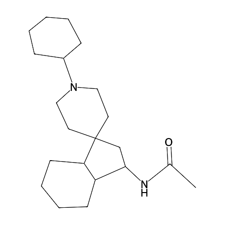 CC(=O)NC1CC2(CCN(C3CCCCC3)CC2)C2CCCCC12